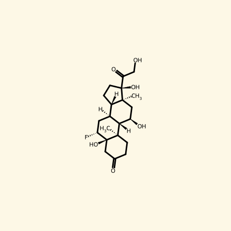 C[C@]12C[C@@H](O)[C@H]3[C@@H](C[C@@H](F)[C@@]4(O)CC(=O)CC[C@]34C)[C@@H]1CC[C@]2(O)C(=O)CO